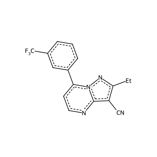 CCc1nn2c(-c3cccc(C(F)(F)F)c3)ccnc2c1C#N